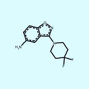 Nc1ccc2onc(N3CCC(F)(F)CC3)c2c1